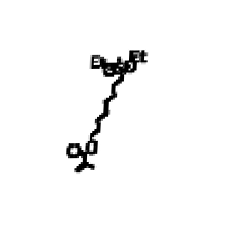 C=C(C)C(=O)OCCCCCCCC[Si](C)(OCC)OCC